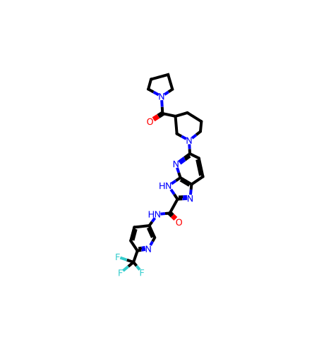 O=C(Nc1ccc(C(F)(F)F)nc1)c1nc2ccc(N3CCCC(C(=O)N4CCCC4)C3)nc2[nH]1